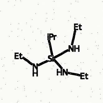 CCN[Si](NCC)(NCC)C(C)C